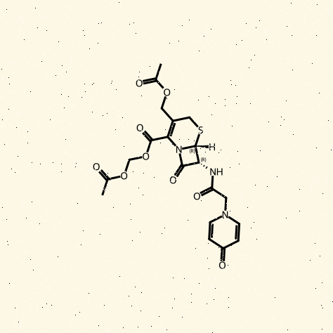 CC(=O)OCOC(=O)C1=C(COC(C)=O)CS[C@@H]2[C@H](NC(=O)Cn3ccc(=O)cc3)C(=O)N12